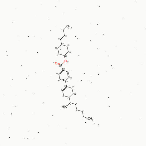 CCCCCC(C)C1CC=C(c2ccc(C(=O)OC3CCC(CCCC)CC3)cc2)CC1